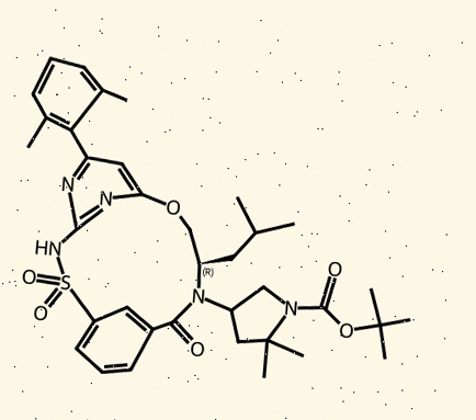 Cc1cccc(C)c1-c1cc2nc(n1)NS(=O)(=O)c1cccc(c1)C(=O)N(C1CN(C(=O)OC(C)(C)C)C(C)(C)C1)[C@H](CC(C)C)CO2